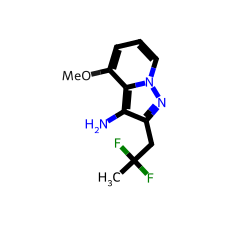 COc1cccn2nc(CC(C)(F)F)c(N)c12